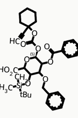 C#CC1(OC(=O)O[C@@H]2OC(C(=O)O)C(O[Si](C)(C)C(C)(C)C)C(OCc3ccccc3)C2OC(=O)c2ccccc2)CCCCC1